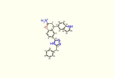 NC(=O)CC(c1cccc(-c2nnc(Cc3ccccc3)[nH]2)c1)c1ccc2[nH]ccc2c1